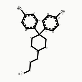 CCCCC1CCC(c2ccc(O)cc2)(c2ccc(O)cc2)CC1